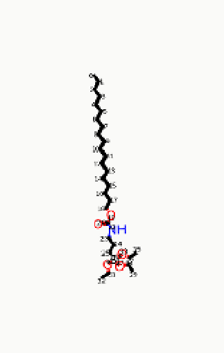 CCCCCCCCCCCCCCCCCCCOC(=O)NCCC[Si](OCC)(OCC)OCC